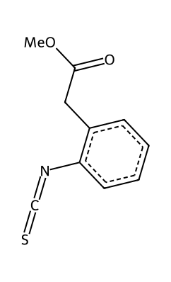 COC(=O)Cc1ccccc1N=C=S